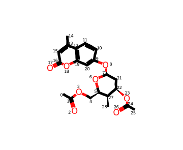 CC(=O)OC[C@H]1O[C@@H](Oc2ccc3c(C)cc(=O)oc3c2)C[C@@H](OC(C)=O)[C@H]1C